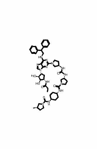 CCC(=O)N[C@H]1C[C@@H](n2cnc3c(NCC(c4ccccc4)c4ccccc4)nc(N4CC[C@@H](NC(=O)N[C@@H]5CCN(C(=O)N[C@H]6CC[C@H](NC(=O)N7CC[C@@H](C)C7)CC6)C5)C4)nc32)[C@H](O)[C@@H]1O